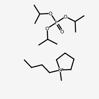 CC(C)OP(=O)(OC(C)C)OC(C)C.CCCC[N+]1(C)CCCC1